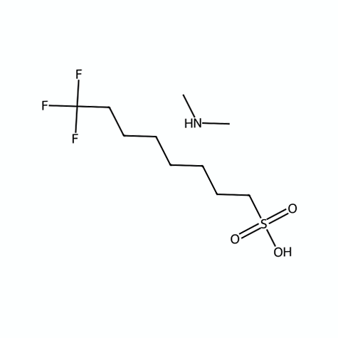 CNC.O=S(=O)(O)CCCCCCCC(F)(F)F